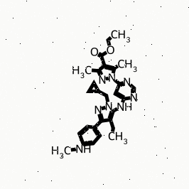 CCOC(=O)c1c(C)nn(-c2cc(Nc3c(CC)c(-c4ccc(NC)cc4)nn3CC3CC3)ncn2)c1C